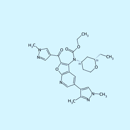 CCOC(=O)N(c1c(C(=O)c2cnn(C)c2)oc2ncc(-c3cn(C)nc3C)cc12)[C@H]1CCO[C@@H](CC)C1